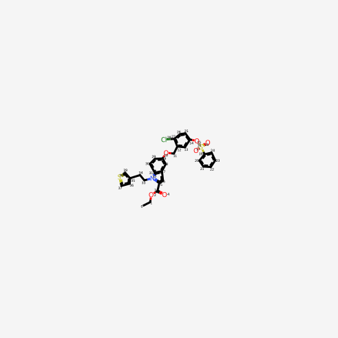 CCOC(=O)c1cc2cc(OCc3cc(OS(=O)(=O)c4ccccc4)ccc3Cl)ccc2n1CCc1ccsc1